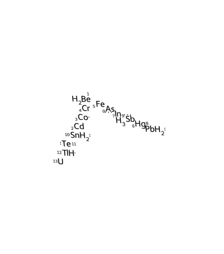 [As].[BeH2].[Cd].[Co].[Cr].[Fe].[Hg].[InH3].[PbH2].[Sb].[SnH2].[Te].[TlH].[U]